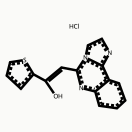 Cl.OC(=Cc1nc2ccccc2c2nccn12)c1cccs1